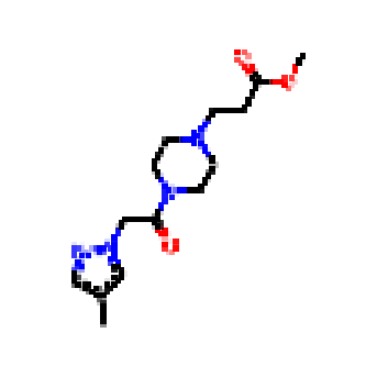 COC(=O)CCN1CCN(C(=O)Cn2cc(C)cn2)CC1